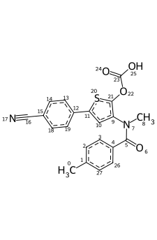 Cc1ccc(C(=O)N(C)c2cc(-c3ccc(C#N)cc3)sc2OC(=O)O)cc1